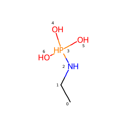 CCN[PH](O)(O)O